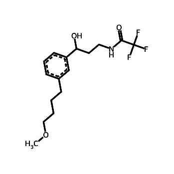 COCCCCc1cccc(C(O)CCNC(=O)C(F)(F)F)c1